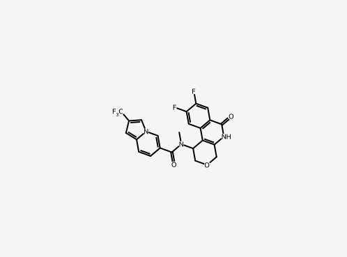 CN(C(=O)c1ccc2cc(C(F)(F)F)cn2c1)C1COCc2[nH]c(=O)c3cc(F)c(F)cc3c21